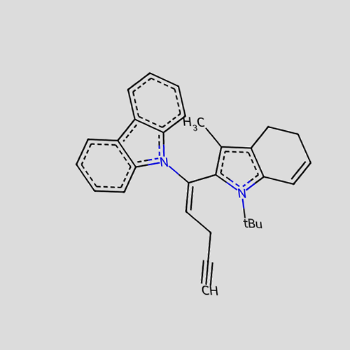 C#CC/C=C(\c1c(C)c2c(n1C(C)(C)C)C=CCC2)n1c2ccccc2c2ccccc21